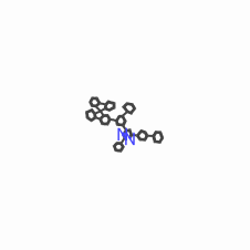 c1ccc(-c2ccc(-c3cc(-c4cc(-c5ccccc5)cc(-c5ccc6c(c5)C5(c7ccccc7-c7ccccc75)c5ccccc5-6)c4)nc(-c4ccccc4)n3)cc2)cc1